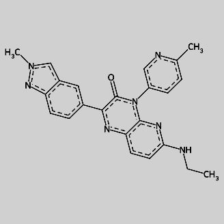 CCNc1ccc2nc(-c3ccc4nn(C)cc4c3)c(=O)n(-c3ccc(C)nc3)c2n1